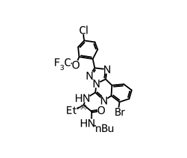 CCCCNC(=O)[C@@H](CC)Nc1nc2c(Br)cccc2c2nc(-c3ccc(Cl)cc3OC(F)(F)F)nn12